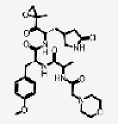 COc1ccc(C[C@H](NC(=O)C(C)NC(=O)CN2CCOCC2)C(=O)N[C@@H](CC2CNC(=O)C2)C(=O)C2(C)CO2)cc1